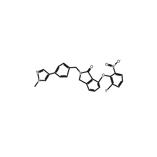 Cn1cc(-c2ccc(CN3Cc4cccc(Oc5c(F)cccc5[N+](=O)[O-])c4C3=O)cc2)cn1